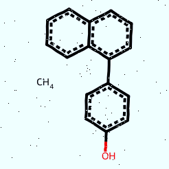 C.Oc1ccc(-c2cccc3ccccc23)cc1